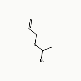 C=CCSC(C)CC